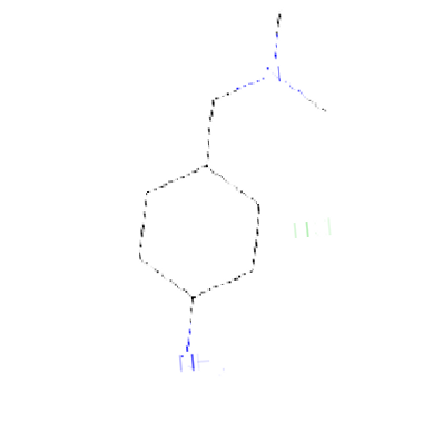 CN(C)CC1CCC(N)CC1.Cl